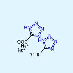 O=C([O-])c1nnn[nH]1.O=C([O-])c1nnn[nH]1.[Na+].[Na+]